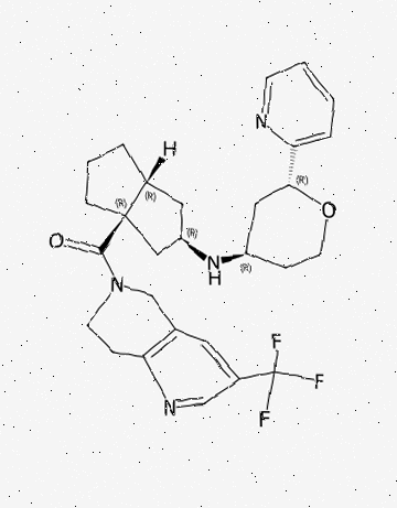 O=C(N1CCc2ncc(C(F)(F)F)cc2C1)[C@@]12CCC[C@@H]1C[C@@H](N[C@@H]1CCO[C@@H](c3ccccn3)C1)C2